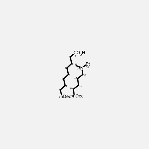 CCCCCCCCCCCCCCCCCC(=O)O.CCCCCCCCCCCCCCN(C)CC